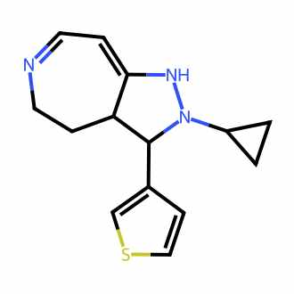 C1=NCCC2C(=C1)NN(C1CC1)C2c1ccsc1